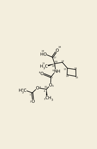 CC(=O)O[C@H](C)OC(=O)N[C@@](C)(CC1CCC1)C(=O)O